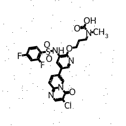 CN(CCCOc1ncc(-c2ccc3ncc(Cl)c(=O)n3c2)cc1NS(=O)(=O)c1ccc(F)cc1F)C(=O)O